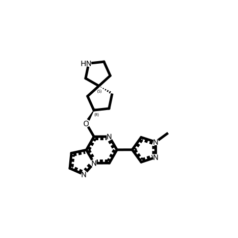 Cn1cc(-c2cn3nccc3c(O[C@@H]3CC[C@]4(CCNC4)C3)n2)cn1